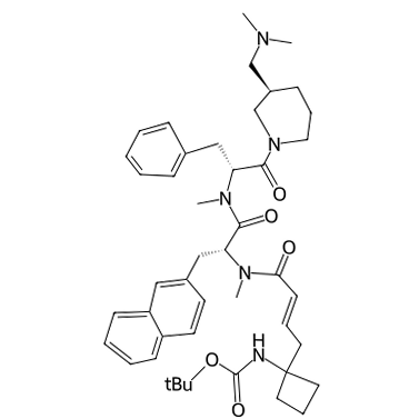 CN(C)C[C@H]1CCCN(C(=O)[C@@H](Cc2ccccc2)N(C)C(=O)[C@@H](Cc2ccc3ccccc3c2)N(C)C(=O)/C=C/CC2(NC(=O)OC(C)(C)C)CCC2)C1